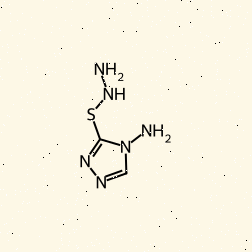 NNSc1nncn1N